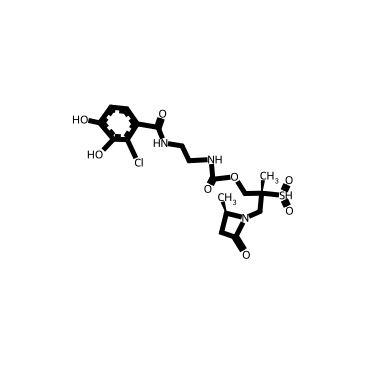 C[C@@H]1CC(=O)N1C[C@](C)(COC(=O)NCCNC(=O)c1ccc(O)c(O)c1Cl)[SH](=O)=O